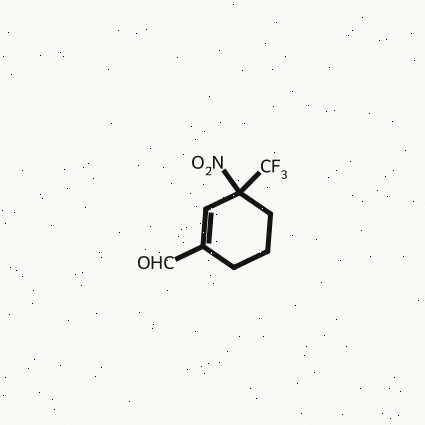 O=CC1=CC([N+](=O)[O-])(C(F)(F)F)CCC1